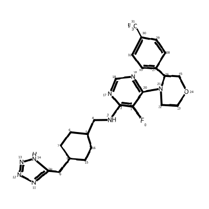 Fc1c(NCC2CCC(Cc3nnn[nH]3)CC2)ncnc1N1CCOCC1c1ccc(C(F)(F)F)cc1